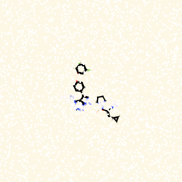 N#CC(=CC1CC1)C(=O)N1CCC[C@H]1Cn1cc(-c2ccc(Oc3cc(F)cc(F)c3)cc2)c2c(N)ncnc21